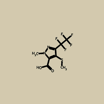 CSc1c(C(F)(F)C(F)(F)F)nn(C)c1C(=O)O